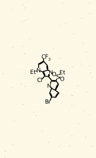 CCn1cc(C(F)(F)F)cc2nc(-c3nc4cc(Br)ccc4cc3S(=O)(=O)CC)c(Cl)c1-2